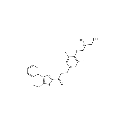 CCc1sc(C(=O)CCc2cc(C)c(OC[C@H](O)CO)c(C)c2)cc1-c1ccccc1